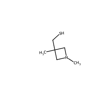 CN1CC(C)(CS)C1